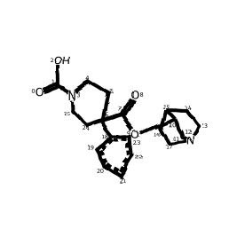 O=C(O)N1CCC(C(=O)OC2CN3CCC2CC3)(c2ccccc2)CC1